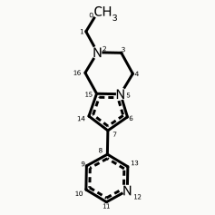 CCN1CCn2cc(-c3cccnc3)cc2C1